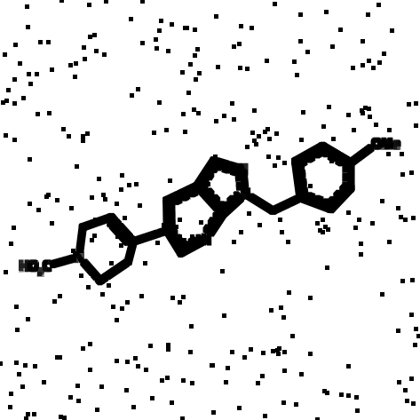 COc1ccc(Cn2ncc3cc(C4=CCN(C(=O)O)CC4)cnc32)cc1